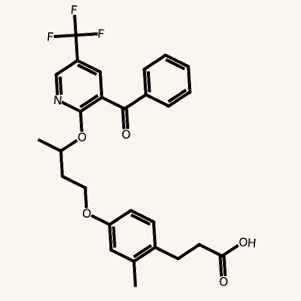 Cc1cc(OCCC(C)Oc2ncc(C(F)(F)F)cc2C(=O)c2ccccc2)ccc1CCC(=O)O